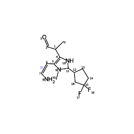 CC(C=O)C1=C(/C=C\N)N(C)C(C2CCC(F)(F)C2)N1